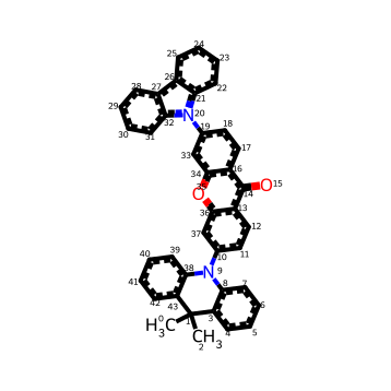 CC1(C)c2ccccc2N(c2ccc3c(=O)c4ccc(-n5c6ccccc6c6ccccc65)cc4oc3c2)c2ccccc21